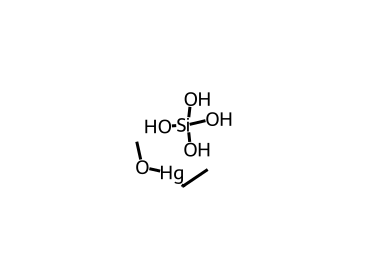 C[CH2][Hg][O]C.O[Si](O)(O)O